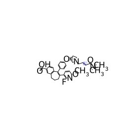 COc1ccc(C2=C(c3ccc(O[C@H]4CCN(C/C=C/C(=O)N(C)C)C4)cc3)c3ccc(C(=O)O)cc3CCC2)c(F)n1